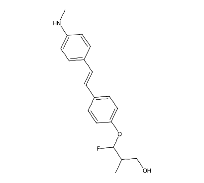 CNc1ccc(C=Cc2ccc(OC(F)C(C)CO)cc2)cc1